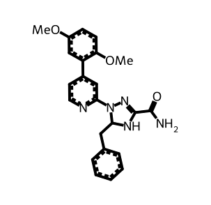 COc1ccc(OC)c(-c2ccnc(N3N=C(C(N)=O)NC3Cc3ccccc3)c2)c1